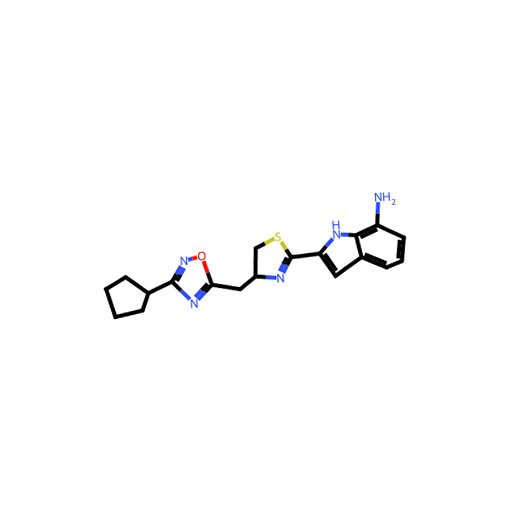 Nc1cccc2cc(C3=NC(Cc4nc(C5CCCC5)no4)CS3)[nH]c12